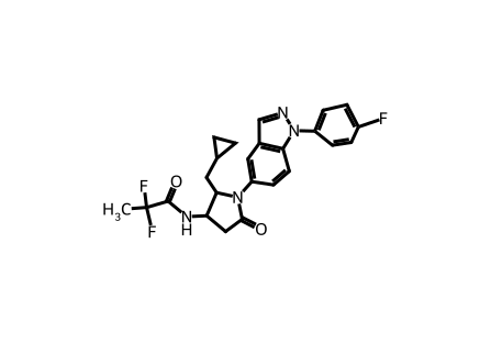 CC(F)(F)C(=O)NC1CC(=O)N(c2ccc3c(cnn3-c3ccc(F)cc3)c2)C1CC1CC1